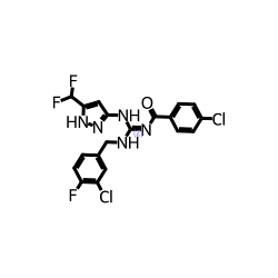 O=C(/N=C(/NCc1ccc(F)c(Cl)c1)Nc1cc(C(F)F)[nH]n1)c1ccc(Cl)cc1